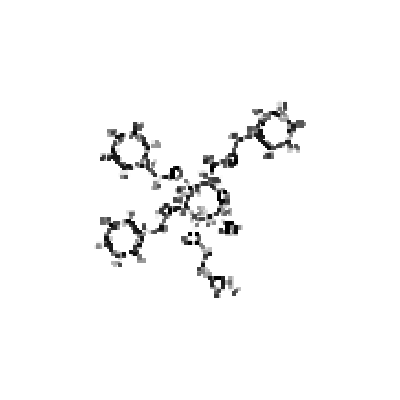 C=CCO[C@@H]1[C@@H](OCc2ccccc2)[C@H](OCc2ccccc2)[C@@H](COCc2ccccc2)O[C@@H]1Br